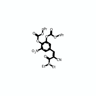 CCCOC(=O)Oc1cc(C=C(C#N)C(=O)N(CC)CC)cc([N+](=O)[O-])c1OC(=O)OCCC